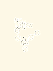 N#Cc1nc(C#N)c2oc3ccc(-c4cccc(-c5nc(-c6ccccc6)nc(-c6ccc(-c7ccccc7)cc6)n5)c4)cc3c2n1